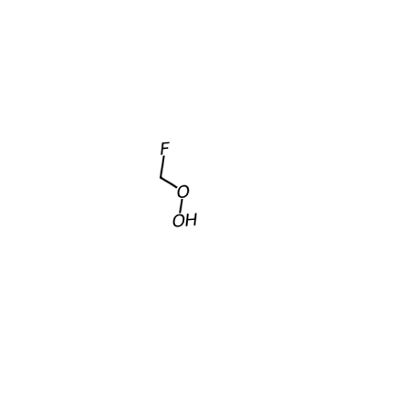 OOCF